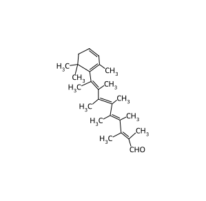 CC1=C(/C(C)=C(C)/C(C)=C(C)/C(C)=C(C)/C(C)=C(\C)C=O)C(C)(C)CC=C1